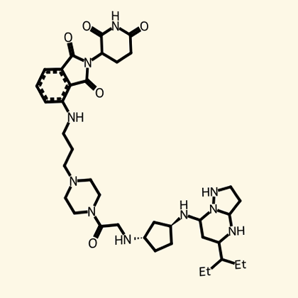 CCC(CC)C1CC(N[C@H]2CC[C@H](NCC(=O)N3CCN(CCCNc4cccc5c4C(=O)N(C4CCC(=O)NC4=O)C5=O)CC3)C2)N2NCCC2N1